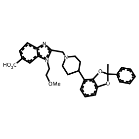 COCCn1c(CN2CCC(c3cccc4c3OC(C)(c3ccccc3)O4)CC2)nc2ccc(C(=O)O)cc21